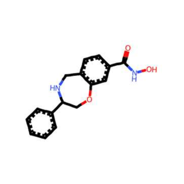 O=C(NO)c1ccc2c(c1)OCC(c1ccccc1)NC2